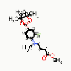 COC(=O)CCCN(C)c1ccc(B2OC(C)(C)C(C)(C)O2)cc1F